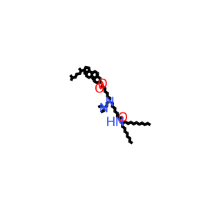 CCCCCCCCCCC(CCCCCCCC)NC(=O)CCCCCCN(CCCCCC(=O)OC1CCC2(C)C(=CCC3C2CCC2(C)C(C(C)CCCC(C)C)CCC32)C1)CCN(CC)CC